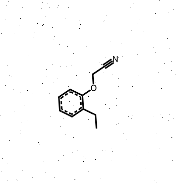 CCc1ccccc1OCC#N